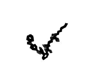 CCCCCCNC(=O)OCCCNC(=O)OC1CCCCN1C(=O)Oc1ccc(Oc2ccccc2)cc1